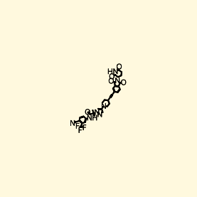 CC(C)(C(=O)Nc1ccc(C#N)c(C(F)(F)F)c1)n1cc(N2CCC(C#Cc3ccc4c(c3)C(=O)N(C3CCC(=O)NC3=O)C4=O)CC2)cn1